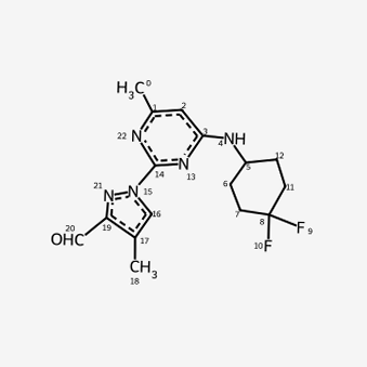 Cc1cc(NC2CCC(F)(F)CC2)nc(-n2cc(C)c(C=O)n2)n1